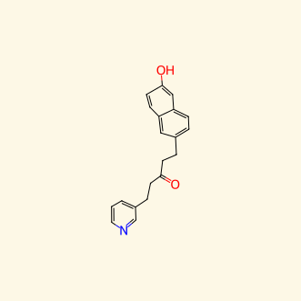 O=C(CCc1cccnc1)CCc1ccc2cc(O)ccc2c1